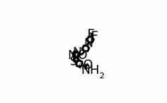 NC(=O)[C@H]1CCc2sc3ncnc(OC4CCC(N5CCC(F)(F)CC5)CC4)c3c2C1